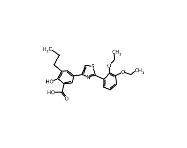 CCCc1cc(-c2csc(-c3cccc(OCC)c3OCC)n2)cc(C(=O)O)c1O